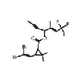 CC#CC(OC(=O)C1C(C=C(Br)Br)C1(C)C)C(C)=CC(F)(F)F